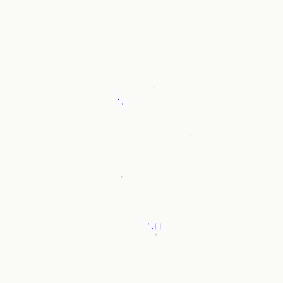 Cc1cccc2c(Cc3ccccc3N)cn(C)c12